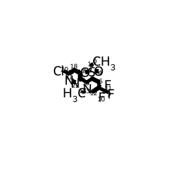 CCS(=O)(=O)C1=CC(C(F)(F)F)=CN(C)C1c1ccc(Cl)nn1